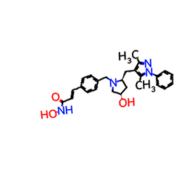 Cc1nn(-c2ccccc2)c(C)c1C[C@H]1C[C@H](O)CN1Cc1ccc(/C=C/C(=O)NO)cc1